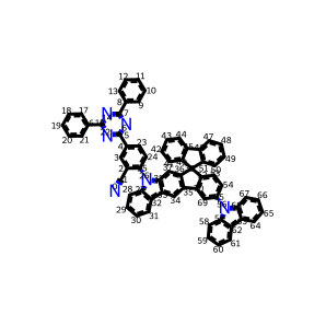 N#Cc1cc(-c2nc(-c3ccccc3)nc(-c3ccccc3)n2)ccc1-n1c2ccccc2c2cc3c(cc21)C1(c2ccccc2-c2ccccc21)c1ccc(-n2c4ccccc4c4ccccc42)cc1-3